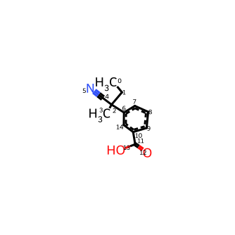 CCC(C)(C#N)c1cccc(C(=O)O)c1